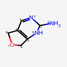 NC1N=CC2=C(COC2)N1